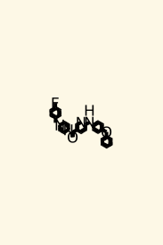 O=C(c1ccc(Nc2ccc(Oc3ccccc3)cc2)nc1)N1CCN(Cc2ccc(F)cc2)CC1